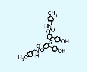 Cc1ccc(CNC(=O)Oc2ccc(Sc3ccc(OC(=O)NCc4ccc(C)cc4)cc3-c3ccc(O)cc3)c(-c3ccc(O)cc3)c2)cc1